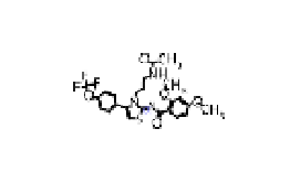 COc1ccc(C(=O)/N=c2\scc(-c3ccc(OC(F)(F)F)cc3)n2CCCNC(C)=O)c(OC)c1